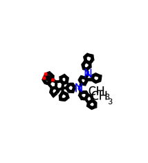 CC1(C)c2ccccc2-c2ccc(N(c3ccc(C4(c5ccccc5)c5ccccc5C5(c6ccccc6)c6ccccc6-c6cccc4c65)cc3)c3ccc4c(c3)c3ccccc3n4-c3ccc4ccccc4c3)cc21